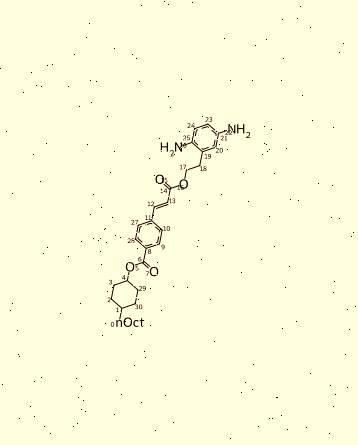 CCCCCCCCC1CCC(OC(=O)c2ccc(/C=C/C(=O)OCCc3cc(N)ccc3N)cc2)CC1